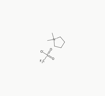 C[N+]1(C)CCCC1.O=S(=O)([O-])C(F)(F)F